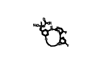 C[SH](O)(Cc1cc2cc(c1)OCCCCNc1cc(F)ccc1-c1nc(ncc1F)N2)=NC(=O)O